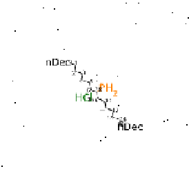 CCCCCCCCCCCCCCCCC(P)CCCCCCCCCCCCCCCC.Cl